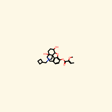 CC=C(OC)C(=O)Oc1ccc2c3c1OC1C(O)CCC4(O)C(C2)N(CC2CCC2)CCC314